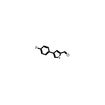 O=[C]c1cc(-c2ccc(F)cc2)cs1